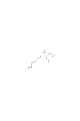 CCCCCCCCCCCCCCCCSC(C)N(CCO)CCO